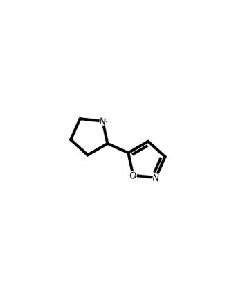 c1cc(C2CCC[N]2)on1